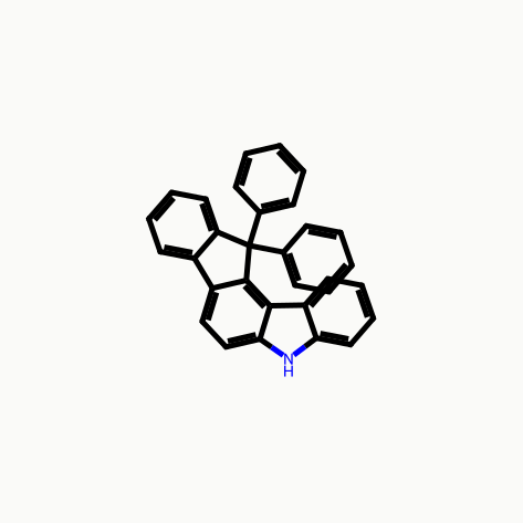 c1ccc(C2(c3ccccc3)c3ccccc3-c3ccc4[nH]c5ccccc5c4c32)cc1